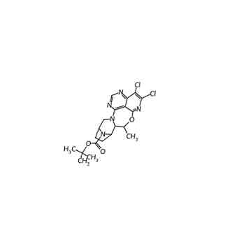 CC1Oc2nc(Cl)c(Cl)c3ncnc(c23)N2CC3CCC(C12)N3C(=O)OC(C)(C)C